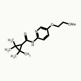 COCCOc1ccc(NC(=O)C2C(C)(C)C2(C)C)nc1